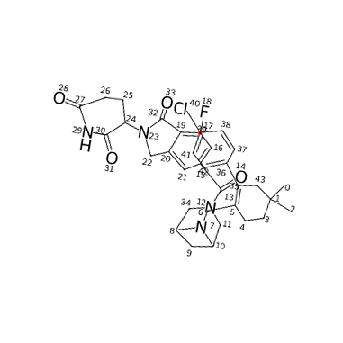 CC1(C)CCC(CN2C3CC2CN(C(=O)c2cc(F)c4c(c2)CN(C2CCC(=O)NC2=O)C4=O)C3)=C(c2ccc(Cl)cc2)C1